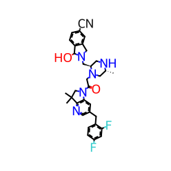 C[C@@H]1CN(CC(=O)N2CC(C)(C)c3ncc(Cc4ccc(F)cc4F)cc32)[C@@H](CN2Cc3cc(C#N)ccc3C2O)CN1